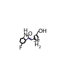 O=C1Nc2ccc(F)cc2/C1=C/C1=CC(CO)=C[SeH2]1